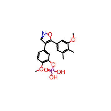 COc1ccc(-c2cnoc2-c2cc(C)c(C)c(OC)c2)cc1OP(=O)(O)O